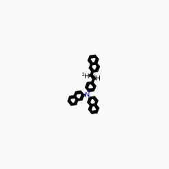 [2H]/C(=C(/[2H])c1ccc2ccccc2c1)c1ccc(N(c2ccc3ccccc3c2)c2ccc3ccccc3c2)cc1